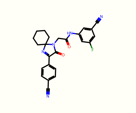 N#Cc1ccc(C2=NC3(CCCCC3)N(CC(=O)Nc3cc(F)cc(C#N)c3)C2=O)cc1